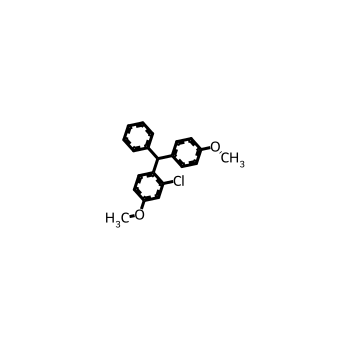 COc1ccc(C(c2ccccc2)c2ccc(OC)cc2Cl)cc1